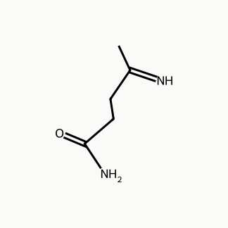 CC(=N)CCC(N)=O